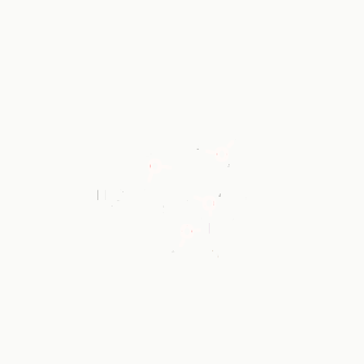 BC1CC(OP(=S)(OC)C(C)C)C(COC(C)C)O1